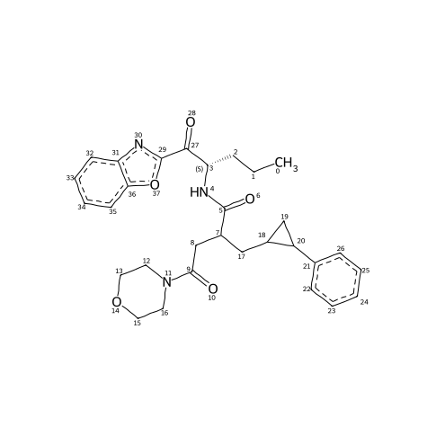 CCC[C@H](NC(=O)C(CC(=O)N1CCOCC1)CC1CC1c1ccccc1)C(=O)c1nc2ccccc2o1